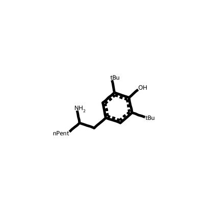 CCCCCC(N)Cc1cc(C(C)(C)C)c(O)c(C(C)(C)C)c1